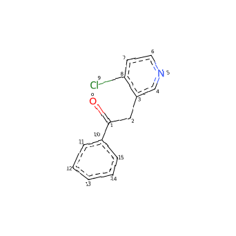 O=C(Cc1cnccc1Cl)c1ccccc1